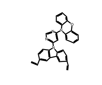 C=Cc1ccc2c(c1)c1cc(C=C)ccc1n2-c1cc(N2c3ccccc3Oc3ccccc32)ncn1